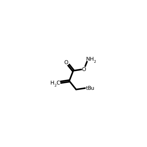 C=C(CC(C)(C)C)C(=O)ON